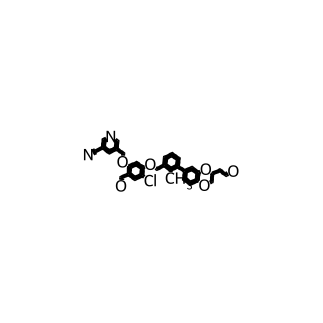 Cc1c(COc2cc(OCc3cncc(C#N)c3)c(C=O)cc2Cl)cccc1-c1ccc2c(c1)OC(CC=O)CO2